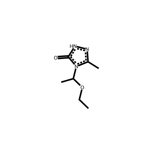 CCOC(C)n1c(C)n[nH]c1=O